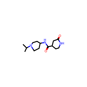 CC(C)N1CCC(NC(=O)C2CCNC(=O)C2)CC1